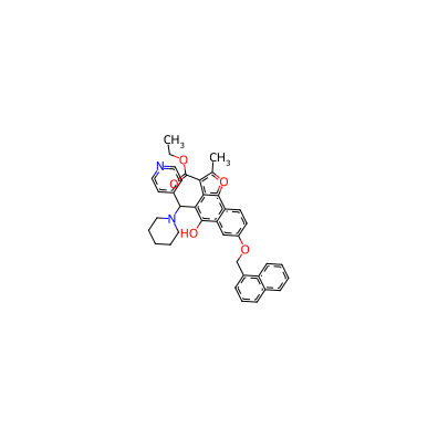 CCOC(=O)c1c(C)oc2c1c(C(c1ccncc1)N1CCCCC1)c(O)c1cc(OCc3cccc4ccccc34)ccc12